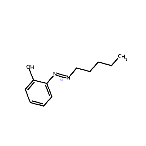 CCCCC/N=N/c1ccccc1O